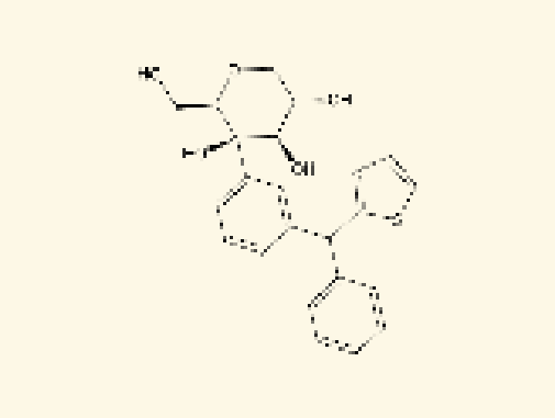 OC[C@H]1OC[C@H](O)[C@@H](O)[C@]1(O)c1cccc(C(c2ccccc2)c2cccs2)c1